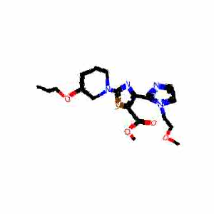 CCCOC1CCCN(c2nc(-c3nccn3CCOC)c(C(=O)OC)s2)C1